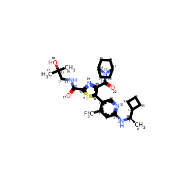 C[C@@H](Nc1cc(C(F)(F)F)c(-c2sc(C(=O)NCC(C)(C)O)nc2C(=O)N2C3CCC2CC3)cn1)C1CCC1